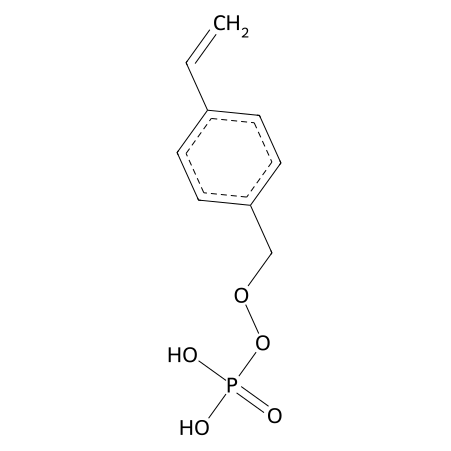 C=Cc1ccc(COOP(=O)(O)O)cc1